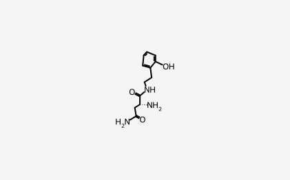 NC(=O)C[C@@H](N)C(=O)NCCc1ccccc1O